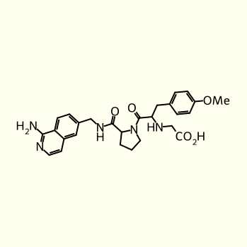 COc1ccc(CC(NCC(=O)O)C(=O)N2CCCC2C(=O)NCc2ccc3c(N)nccc3c2)cc1